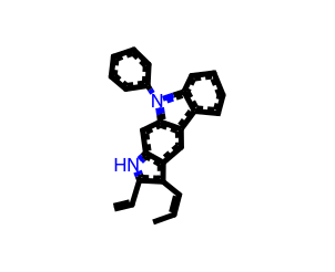 C=Cc1[nH]c2cc3c(cc2c1/C=C\C)c1ccccc1n3-c1ccccc1